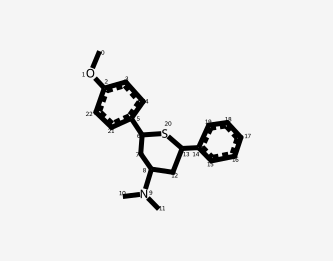 COc1ccc(C2CC(N(C)C)CC(c3ccccc3)S2)cc1